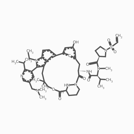 C=CS(=O)(=O)N1CC[C@H](C(=O)N(C)[C@H](C(=O)N[C@H]2Cc3cc(O)cc(c3)-c3ccc4c(c3)c(c(-c3cc(CN(C)C)cnc3C(C)C)n4CC)CC(C)(C)COC(=O)[C@@H]3CCCN(N3)C2=O)C(C)C)C1